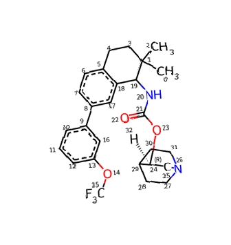 CC1(C)CCc2ccc(-c3cccc(OC(F)(F)F)c3)cc2C1NC(=O)O[C@H]1CN2CCC1CC2